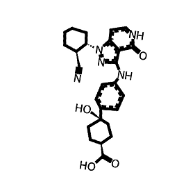 N#C[C@H]1CCCC[C@@H]1n1nc(Nc2ccc([C@]3(O)CC[C@@H](C(=O)O)CC3)cc2)c2c(=O)[nH]ccc21